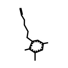 [CH]=CCCCCc1cc(C)cc(C)c1C